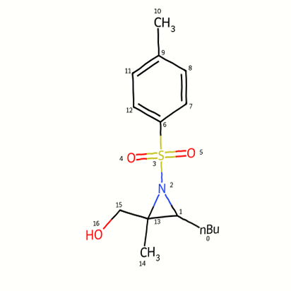 CCCCC1N(S(=O)(=O)c2ccc(C)cc2)C1(C)CO